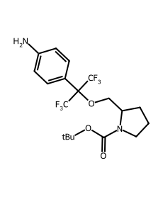 CC(C)(C)OC(=O)N1CCCC1COC(c1ccc(N)cc1)(C(F)(F)F)C(F)(F)F